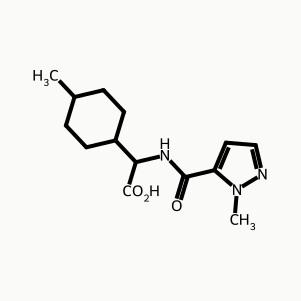 CC1CCC(C(NC(=O)c2ccnn2C)C(=O)O)CC1